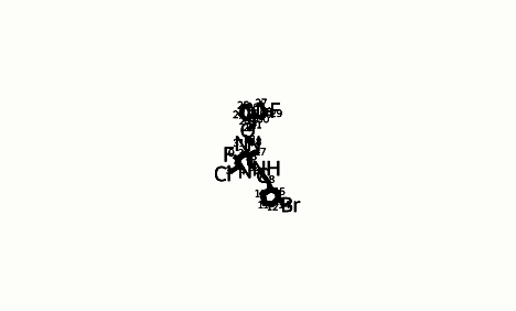 Fc1c(Cl)nc(NCCc2cccc(Br)c2)c2cnc(OC[C@@]34CCCN3C[C@H](F)C4)nc12